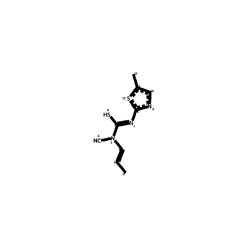 CC=CN(C#N)C(S)=Nc1ncc(C)s1